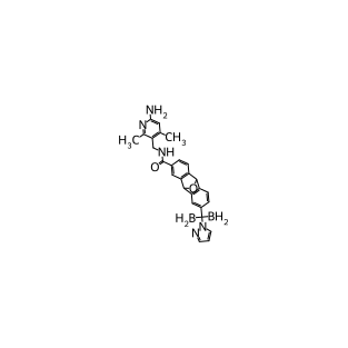 BC(B)(c1ccc2c(c1)C1OC2c2ccc(C(=O)NCc3c(C)cc(N)nc3C)cc21)n1cccn1